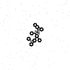 c1ccc(-c2cc3nc(-n4c5ccccc5c5cc6ccccc6cc54)nc(-c4ccccc4)c3cc2-c2ccc3c4ccccc4n(-c4ccccc4)c3c2)cc1